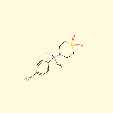 Cc1ccc(C(C)(C)N2CCS(=O)(=O)CC2)cc1